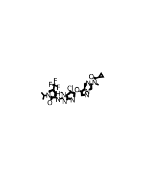 CC(C)n1cc(C(F)(F)F)cc(Nc2nc3ncc(Oc4cnn5cc(N(C)C(=O)C6CC6)ncc45)c(Cl)c3n2C)c1=O